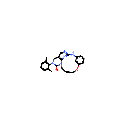 Cc1cccc(C)c1N1Cc2cnc3nc2N(C/C=C\COc2cccc(c2)N3)C1O